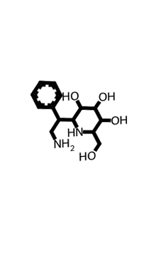 NCC(c1ccccc1)C1NC(CO)C(O)C(O)C1O